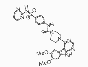 COc1cc2[nH]c3ncnc(N4CCN(C(=S)Nc5ccc(S(=O)(=O)Nc6ncccn6)cc5)CC4)c3c2cc1OC